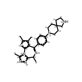 Cc1sc2c(c1C)C(c1ccc(N3CCC4(CCNC4)CC3)cc1)=NC(C)c1nnc(C)n1-2